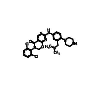 CN(C)Cc1cc(Nc2ncc3c(n2)OCN(c2c(Cl)cccc2Cl)C3=O)ccc1N1CCNCC1